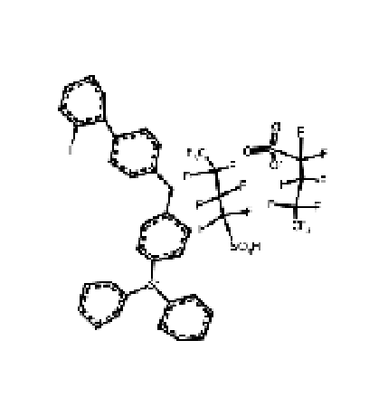 Ic1ccccc1-c1ccc(Cc2ccc([S+](c3ccccc3)c3ccccc3)cc2)cc1.O=S(=O)(O)C(F)(F)C(F)(F)C(F)(F)C(F)(F)F.O=S(=O)([O-])C(F)(F)C(F)(F)C(F)(F)C(F)(F)F